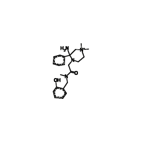 CN(Cc1ccccc1O)C(=O)CN1CC[N+](C)(C)CC1(N)c1ccccc1